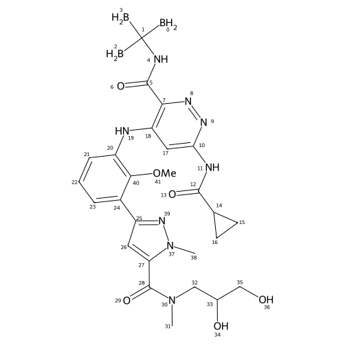 BC(B)(B)NC(=O)c1nnc(NC(=O)C2CC2)cc1Nc1cccc(-c2cc(C(=O)N(C)CC(O)CO)n(C)n2)c1OC